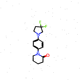 O=C1CCCCN1c1ccc(N2CCC(F)(F)C2)cc1